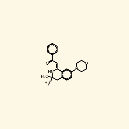 CC1(C)Cc2ccc(N3CCOCC3)cc2C(=CC(=O)c2ccccc2)N1